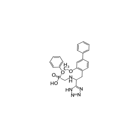 COc1cc(-c2ccccc2)ccc1CC(NCP(=O)(O)Oc1ccccc1)c1nnn[nH]1